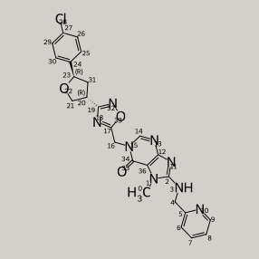 Cn1c(NCc2ccccn2)nc2ncn(Cc3nc([C@@H]4CO[C@@H](c5ccc(Cl)cc5)C4)no3)c(=O)c21